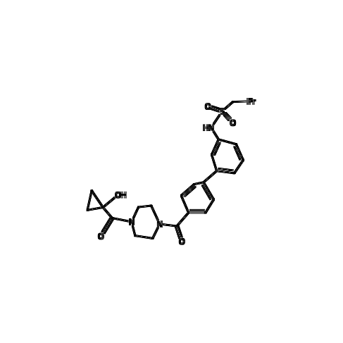 CC(C)CS(=O)(=O)Nc1cccc(-c2ccc(C(=O)N3CCN(C(=O)C4(O)CC4)CC3)cc2)c1